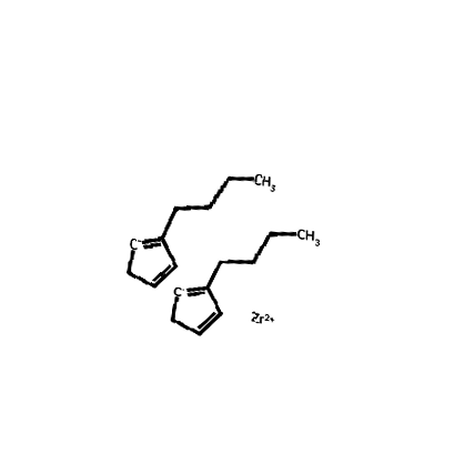 CCCCC1=[C-]CC=C1.CCCCC1=[C-]CC=C1.[Zr+2]